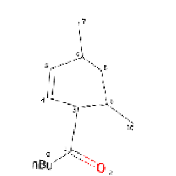 CCCCC(=O)C1C=CC(C)CC1C